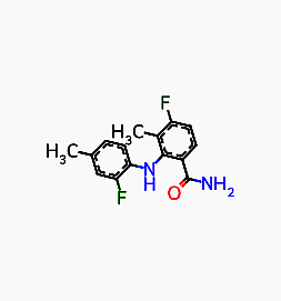 Cc1ccc(Nc2c(C(N)=O)ccc(F)c2C)c(F)c1